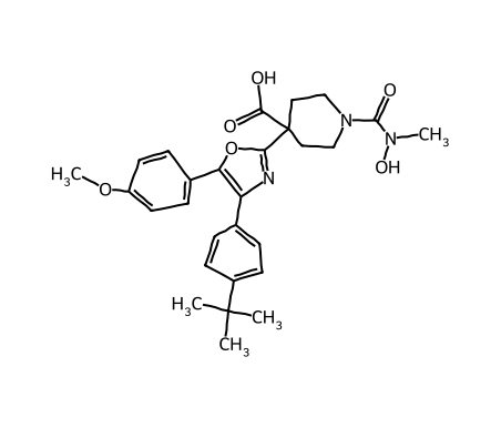 COc1ccc(-c2oc(C3(C(=O)O)CCN(C(=O)N(C)O)CC3)nc2-c2ccc(C(C)(C)C)cc2)cc1